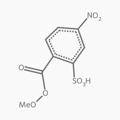 COOC(=O)c1ccc([N+](=O)[O-])cc1S(=O)(=O)O